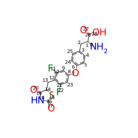 NC(Cc1ccc(Oc2cc(F)c(CC3SC(=O)NC3=O)c(F)c2)cc1)C(=O)O